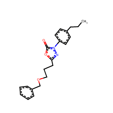 CCCc1ccc(-n2nc(CCCOCc3ccccc3)oc2=O)cc1